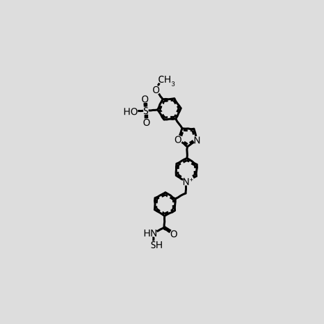 COc1ccc(-c2cnc(-c3cc[n+](Cc4cccc(C(=O)NS)c4)cc3)o2)cc1S(=O)(=O)O